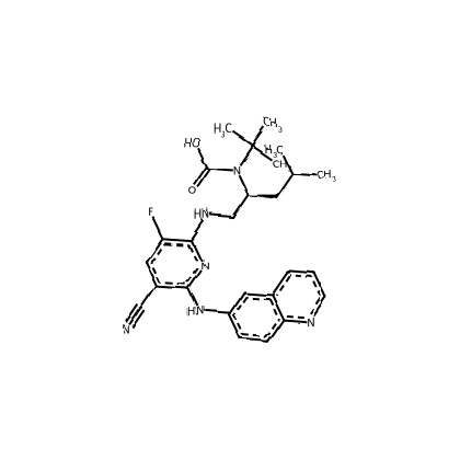 CC(C)C[C@@H](CNc1nc(Nc2ccc3ncccc3c2)c(C#N)cc1F)N(C(=O)O)C(C)(C)C